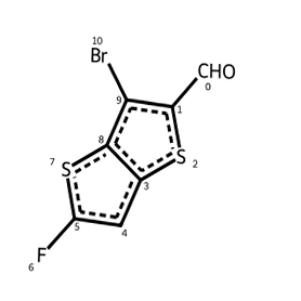 O=Cc1sc2cc(F)sc2c1Br